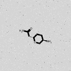 NC(=O)C[C@@H]1CC[C@@H](N)CO1